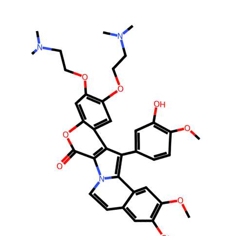 COc1ccc(-c2c3c4cc(OCCN(C)C)c(OCCN(C)C)cc4oc(=O)c3n3ccc4cc(O)c(OC)cc4c23)cc1O